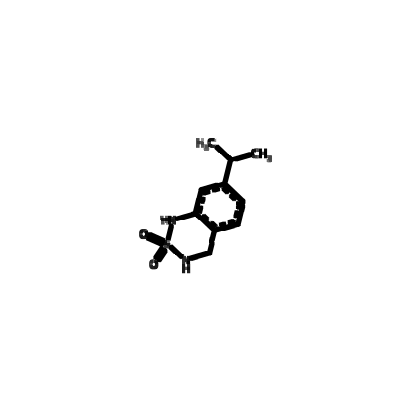 CC(C)c1ccc2c(c1)NS(=O)(=O)NC2